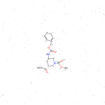 COC(=O)[C@@H]1CC(NC(=O)OCC2=CCCC=C2)CN(C(=O)OC(C)(C)C)C1